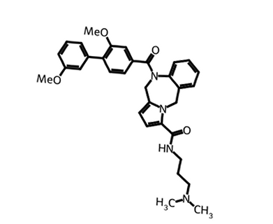 COc1cccc(-c2ccc(C(=O)N3Cc4ccc(C(=O)NCCCN(C)C)n4Cc4ccccc43)cc2OC)c1